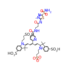 Cn1nc(S(N)(=O)=O)s/c1=N/C(=O)CCNC(=O)c1ccc(C(=C\C=C2\N(CCCS(=O)(=O)O)c3ccc(S(=O)(=O)O)cc3C2(C)C)/C=C/C2=[N+](CCCS(=O)(=O)[O-])c3ccc(S(=O)(=O)O)cc3C2(C)C)nc1